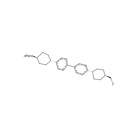 CCCCC[C@H]1CC[C@H](c2ccc(-c3ccc([C@H]4CC[C@H](CF)CC4)cc3)cc2)CC1